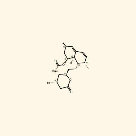 CC[C@@H](C)C(=O)O[C@H]1C[C@@H](C)C=C2C=C[C@H](C)[C@H](CC[C@@H]3C[C@@H](O)CC(=O)O3)[C@H]21